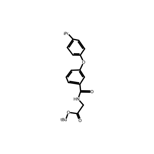 CC(C)c1ccc(Oc2cccc(C(=O)NCC(=O)OC(C)(C)C)c2)cc1